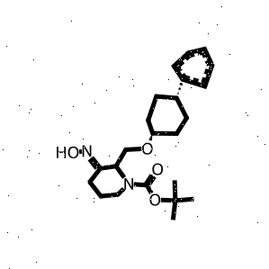 CC(C)(C)OC(=O)N1CCCC(=NO)C1CO[C@H]1CC[C@@H](c2ccccc2)CC1